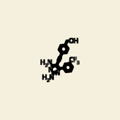 Nc1nc(N)c(C#Cc2ccc(CO)cc2)c(-c2cccc(C(F)(F)F)c2)n1